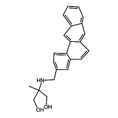 CC(CO)(CO)NCc1ccc2c(ccc3cc4ccccc4cc32)c1